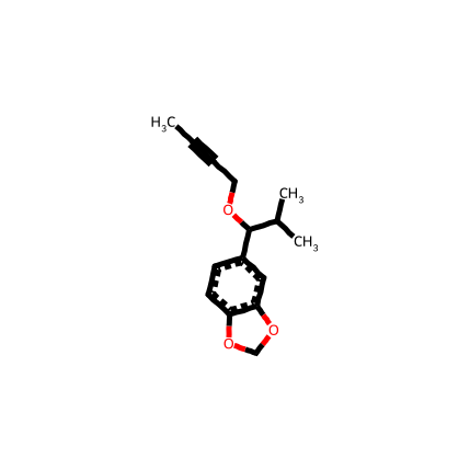 CC#CCOC(c1ccc2c(c1)OCO2)C(C)C